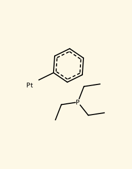 CCP(CC)CC.Cc1ccccc1.[Pt]